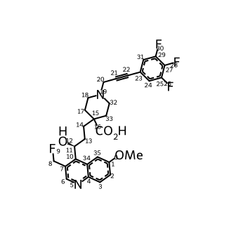 COc1ccc2ncc(CF)c([C@@H](O)CCC3(C(=O)O)CCN(CC#Cc4cc(F)c(F)c(F)c4)CC3)c2c1